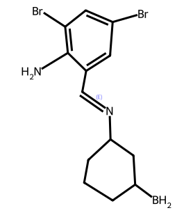 BC1CCCC(/N=C/c2cc(Br)cc(Br)c2N)C1